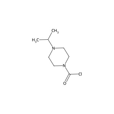 CC(C)N1CCN(C(=O)Cl)CC1